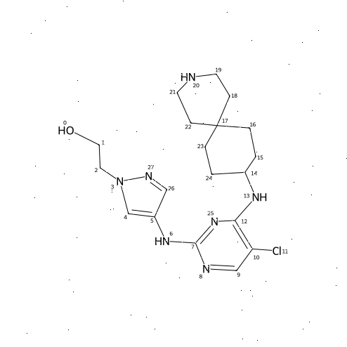 OCCn1cc(Nc2ncc(Cl)c(NC3CCC4(CCNCC4)CC3)n2)cn1